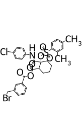 Cc1ccc(S(=O)(=O)OC2(C(=O)Nc3ccc(Cl)cc3)CCCCC2C(=O)OC(=O)c2cccc(CBr)c2)c(C)c1